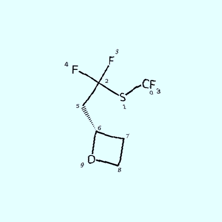 FC(F)(F)SC(F)(F)C[C@@H]1CCO1